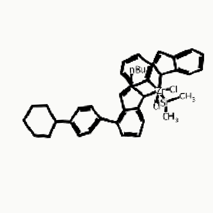 CCCCC1=Cc2c(-c3ccc(C4CCCCC4)cc3)cccc2[CH]1[Zr]([Cl])([Cl])([c]1ccccc1)([CH]1C=Cc2ccccc21)[SiH](C)C